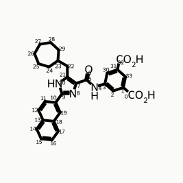 O=C(O)c1cc(NC(=O)c2nc(-c3ccc4ccccc4c3)[nH]c2CC2CCCCCC2)cc(C(=O)O)c1